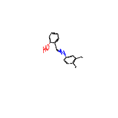 Cc1ccc(/N=C/c2ccccc2O)cc1C